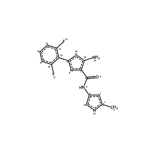 Cn1cc(NC(=O)c2nc(-c3c(F)cccc3F)sc2N)cn1